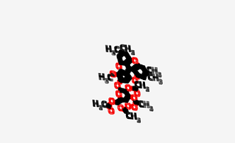 COc1cc(C2C3=C(CC(C)(C)CC3=O)OC3=C2C(=O)CC(C)(C)C3)ccc1O[C@@H]1OC(COC(C)=O)[C@@H](OC(C)=O)C(OC(C)=O)C1OC(C)=O